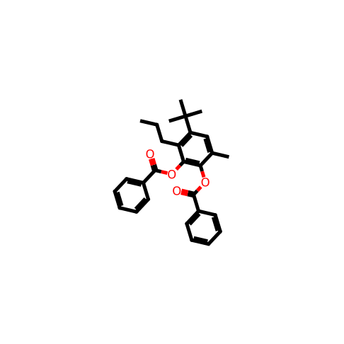 CCCc1c(C(C)(C)C)cc(C)c(OC(=O)c2ccccc2)c1OC(=O)c1ccccc1